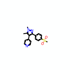 Cc1c(-c2ccncc2)c(-c2ccc(S(C)(=O)=O)cc2)nn1C